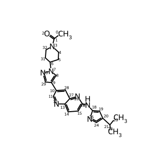 CC(=O)N1CCC(n2cc(-c3cnc4ccc(NC5=CC(C(C)C)=C=N5)nc4c3)cn2)CC1